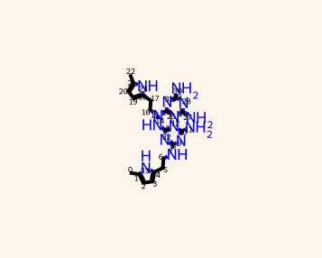 Cc1ccc(CCNc2nc(N)nc(NN(CCc3ccc(C)[nH]3)c3nc(N)nc(N)n3)n2)[nH]1